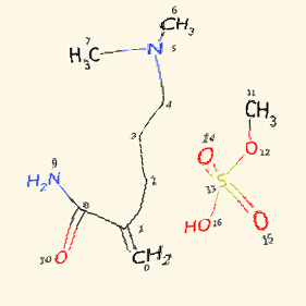 C=C(CCCN(C)C)C(N)=O.COS(=O)(=O)O